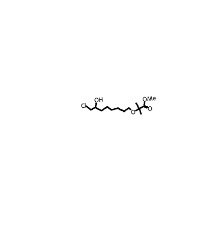 COC(=O)C(C)(C)OCCCCCCC(O)CCl